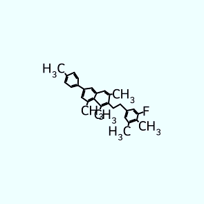 Cc1ccc(-c2cc(C)c3c(C)c(CCc4cc(C)c(C)c(F)c4)c(C)cc3c2)cc1